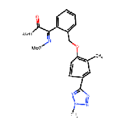 CON=C(C(=O)OC)c1ccccc1COc1ccc(-c2nnn(C)n2)cc1C